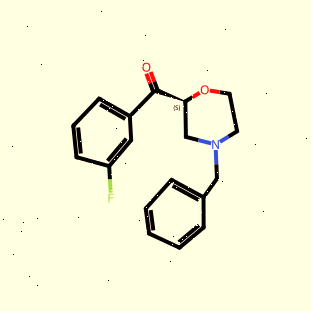 O=C(c1cccc(F)c1)[C@@H]1CN(Cc2ccccc2)CCO1